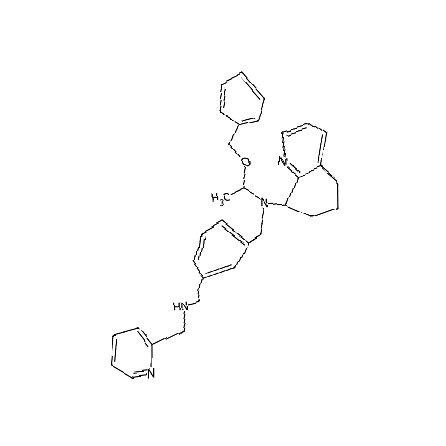 CC(OCc1ccccc1)N(Cc1cccc(CNCc2ccccn2)c1)C1CCCc2cccnc21